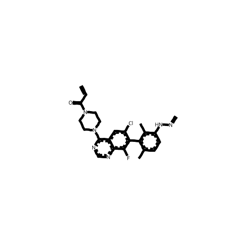 C=CC(=O)N1CCN(c2ncnc3c(F)c(-c4c(C)ccc(NN=C)c4C)c(Cl)cc23)CC1